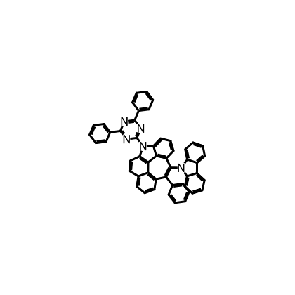 c1ccc(C2=C(n3c4ccccc4c4ccccc43)c3cccc4c3c3c5c2cccc5ccc3n4-c2nc(-c3ccccc3)nc(-c3ccccc3)n2)cc1